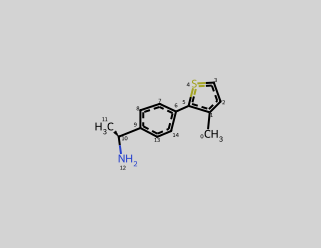 Cc1ccsc1-c1ccc([C@H](C)N)cc1